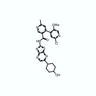 COc1cnc(Cl)cc1-c1cc(C)ncc1C(=O)Nc1nc2ncc(C3CCC(O)CC3)nc2s1